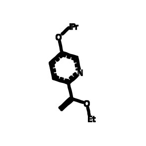 C=C(OCC)c1ccc(OC(C)C)cn1